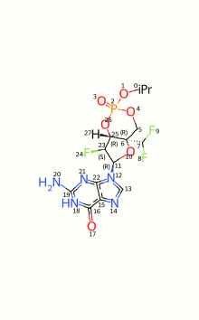 CC(C)OP1(=O)OC[C@@]2(C(F)F)O[C@@H](n3cnc4c(=O)[nH]c(N)nc43)[C@@H](F)[C@@H]2O1